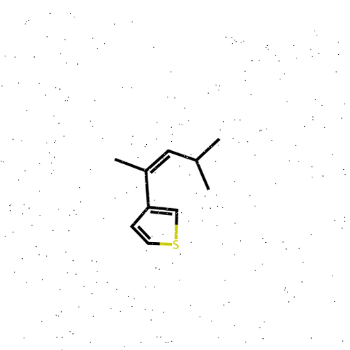 C/C(=C/C(C)C)c1ccsc1